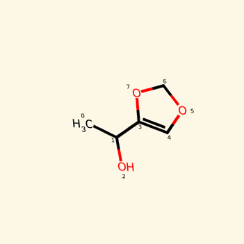 CC(O)C1=COCO1